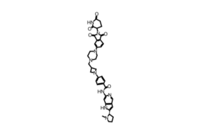 CN1CCC[C@@H]1c1cc2cnc(NC(=O)c3ccc(N4CC(CN5CCN(c6ccc7c(c6)C(=O)N(C6CCC(=O)NC6=O)C7=O)CC5)C4)cc3)cc2[nH]1